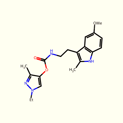 CCn1cc(OC(=O)NCCc2c(C)[nH]c3ccc(OC)cc23)c(C)n1